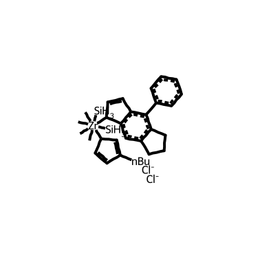 CCCCC1=C[CH]([Zr]([CH3])([CH3])([CH3])([CH3])([SiH3])([SiH3])[CH]2C=Cc3c2cc2c(c3-c3ccccc3)CCC2)C=C1.[Cl-].[Cl-]